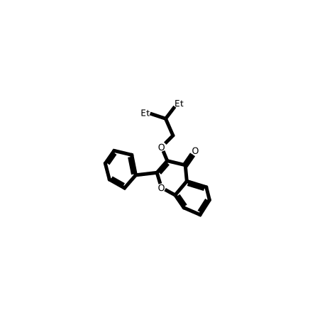 CCC(CC)COc1c(-c2ccccc2)oc2ccccc2c1=O